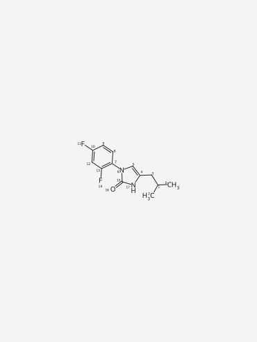 CC(C)Cc1cn(-c2ccc(F)cc2F)c(=O)[nH]1